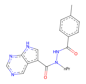 CCCN(NC(=O)c1ccc(C)cc1)C(=O)c1c[nH]c2ncncc12